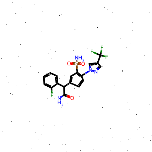 NC(=O)C(c1ccc(-n2cc(C(F)(F)F)cn2)c(S(N)(=O)=O)c1)c1ccccc1F